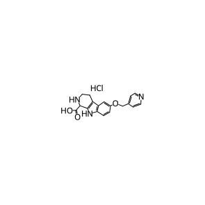 Cl.O=C(O)C1NCCc2c1[nH]c1ccc(OCc3ccncc3)cc21